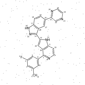 Cc1cc(F)cc(-c2nccc3[nH]c(-c4n[nH]c5ccc(-c6cnccn6)cc45)cc23)c1